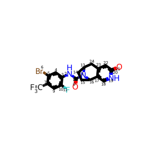 O=C(Nc1cc(Br)c(C(F)(F)F)cc1F)N1C2CCC1c1c[nH]c(=O)cc1C2